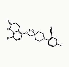 N#Cc1cc(F)cnc1N1CCC(O)(COc2ccc(F)c3c2CCC(=O)N3)CC1